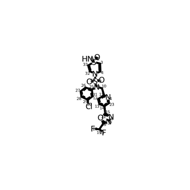 N=S1(=O)C=CN(S(=O)(=O)N(Cc2ccc(-c3nnc(C(F)F)o3)cn2)c2cccc(Cl)c2)C=C1